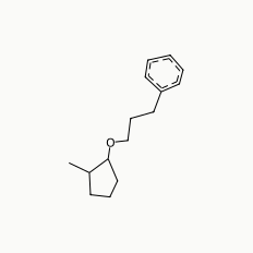 CC1CCCC1OCCCc1ccccc1